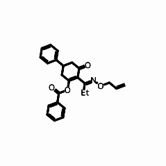 C=CCON=C(CC)C1=C(OC(=O)c2ccccc2)CC(c2ccccc2)CC1=O